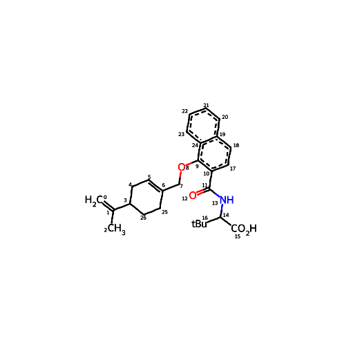 C=C(C)C1CC=C(COc2c(C(=O)NC(C(=O)O)C(C)(C)C)ccc3ccccc23)CC1